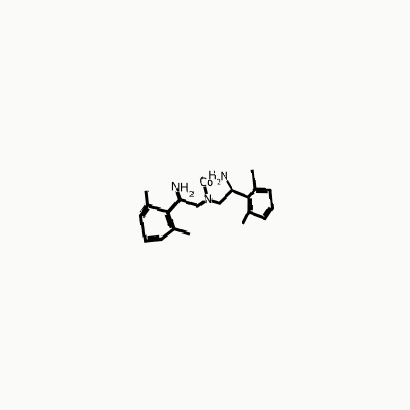 Cc1cccc(C)c1C(N)C[N]([Co])CC(N)c1c(C)cccc1C